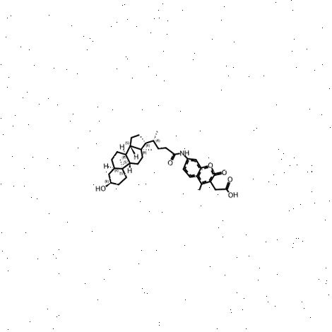 Cc1c(CC(=O)O)c(=O)oc2cc(NC(=O)CC[C@@H](C)[C@H]3CC[C@H]4[C@@H]5CC[C@@H]6C[C@H](O)CC[C@]6(C)[C@H]5CC[C@]34C)ccc12